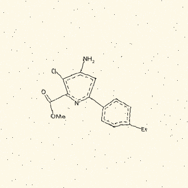 CCc1ccc(-c2cc(N)c(Cl)c(C(=O)OC)n2)cc1